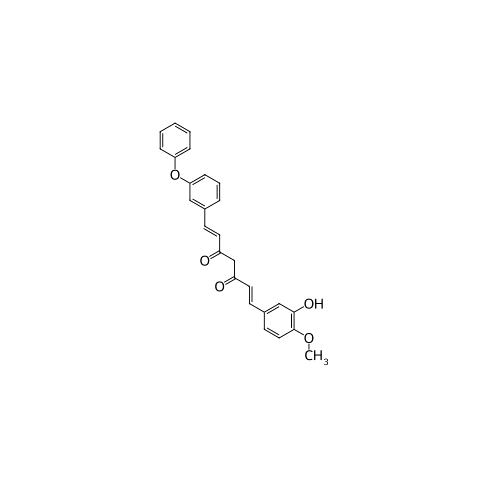 COc1ccc(C=CC(=O)CC(=O)C=Cc2cccc(Oc3ccccc3)c2)cc1O